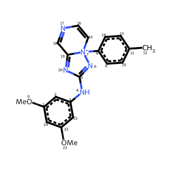 COc1cc(NC2=N[N+]3(c4ccc(C)cc4)C=CN=CC3=N2)cc(OC)c1